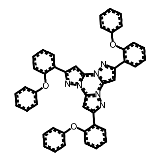 c1ccc(Oc2ccccc2-c2cc3n(n2)c2cc(-c4ccccc4Oc4ccccc4)nn2c2cc(-c4ccccc4Oc4ccccc4)nn32)cc1